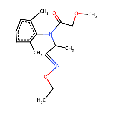 CCON=CC(C)N(C(=O)COC)c1c(C)cccc1C